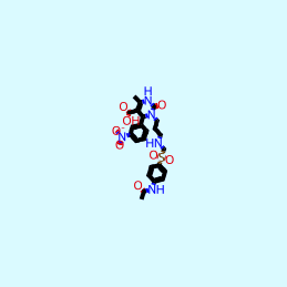 CC(=O)Nc1ccc(S(=O)(=O)CNCCCN2C(=O)NC(C)=C(C(=O)O)C2c2cccc([N+](=O)[O-])c2)cc1